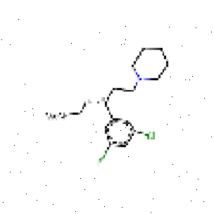 CNCC[C@H](CCN1CCCCC1)c1cc(F)cc(Cl)c1